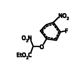 CCOC(=O)C(Oc1ccc([N+](=O)[O-])c(F)c1)[N+](=O)[O-]